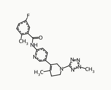 CC1=C(c2ccc(NC(=O)c3cc(F)ccc3C)nc2)CN(c2nnn(C)n2)CC1